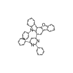 c1ccc(-c2cc(-c3cc4c5ccccc5oc4c4c5ccccc5n(-c5ccccc5)c34)nc(-c3ccccc3)n2)cc1